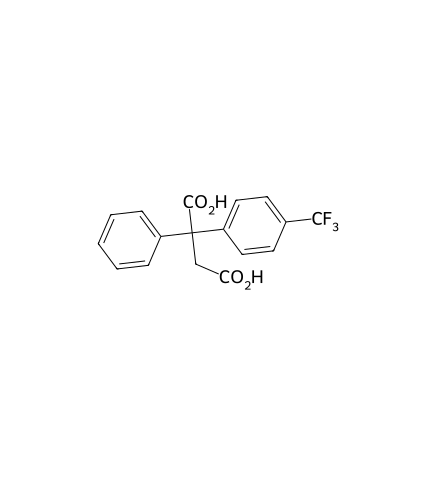 O=C(O)CC(C(=O)O)(c1ccccc1)c1ccc(C(F)(F)F)cc1